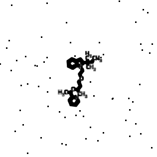 CCC(C)(C)c1cc2ccccc2n1CCOCCC(C)OC(C)c1ccccn1